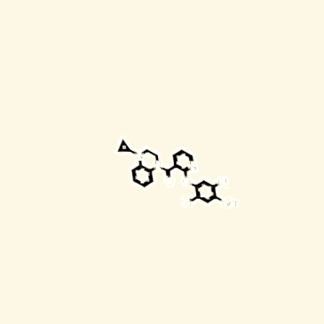 CCCc1cc(Cl)c(Oc2ncccc2C(=O)N2CCN(C3CC3)c3ccccc32)cc1Cl